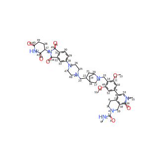 CNC(=O)N1CCc2c(-c3cc(OC)c(CN4CC5CC4CC5CN4CCN(c5ccc6c(c5)C(=O)N(C5CCC(=O)NC5=O)C6=O)CC4)c(OC)c3)cn(C)c(=O)c2C1